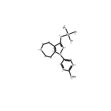 COc1ncc(-n2nc(O[Si](C(C)C)(C(C)C)C(C)C)c3c2CCOCC3)cn1